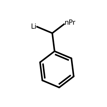 [Li][CH](CCC)c1ccccc1